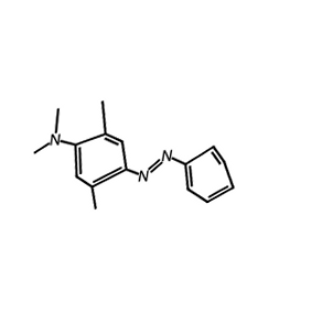 Cc1cc(N(C)C)c(C)cc1N=Nc1ccccc1